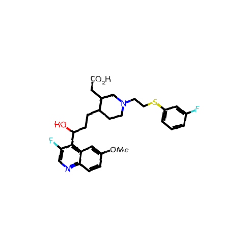 COc1ccc2ncc(F)c(C(O)CCC3CCN(CCSc4cccc(F)c4)CC3CC(=O)O)c2c1